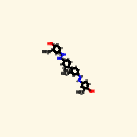 O=C(O)c1cc(N=Nc2ccc(-c3ccc(NNc4ccc(O)c(C(=O)O)c4)cc3S(=O)(=O)O)c(S(=O)(=O)O)c2)ccc1O